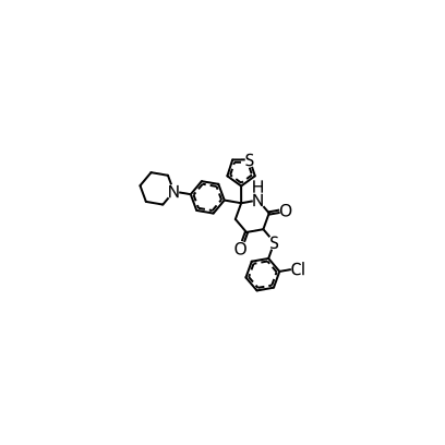 O=C1CC(c2ccc(N3CCCCC3)cc2)(c2ccsc2)NC(=O)C1Sc1ccccc1Cl